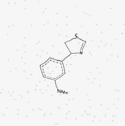 CNc1cccc(C2CSC=N2)c1